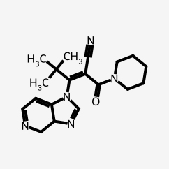 CC(C)(C)C(=C(C#N)C(=O)N1CCCCC1)N1C=NC2CN=CC=C21